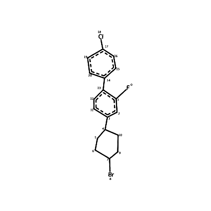 Fc1cc(C2CCC(Br)CC2)ccc1-c1ccc(Cl)cc1